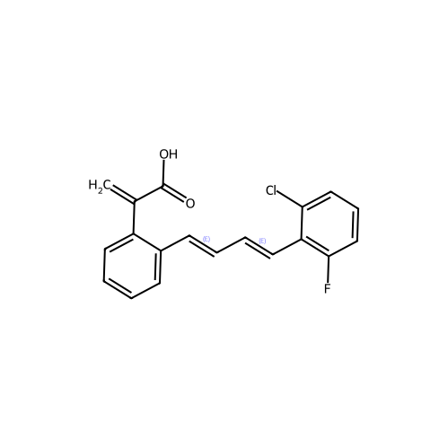 C=C(C(=O)O)c1ccccc1/C=C/C=C/c1c(F)cccc1Cl